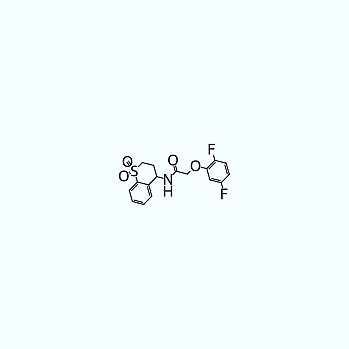 O=C(COc1cc(F)ccc1F)NC1CCS(=O)(=O)c2ccccc21